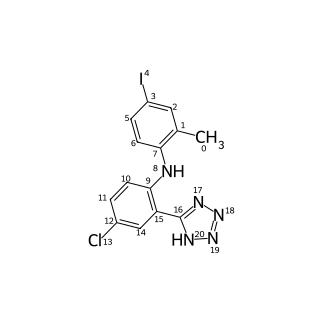 Cc1cc(I)ccc1Nc1ccc(Cl)cc1-c1nnn[nH]1